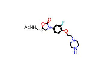 CC(=O)NC[C@H]1CN(c2ccc(OCCN3CCNCC3)c(F)c2)C(=O)O1